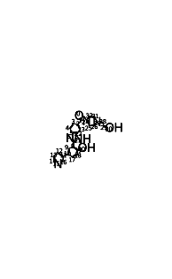 O=C(c1ccc2nc(-c3cc(-c4cccnc4)ccc3O)[nH]c2c1)N1CCN(CCO)CC1